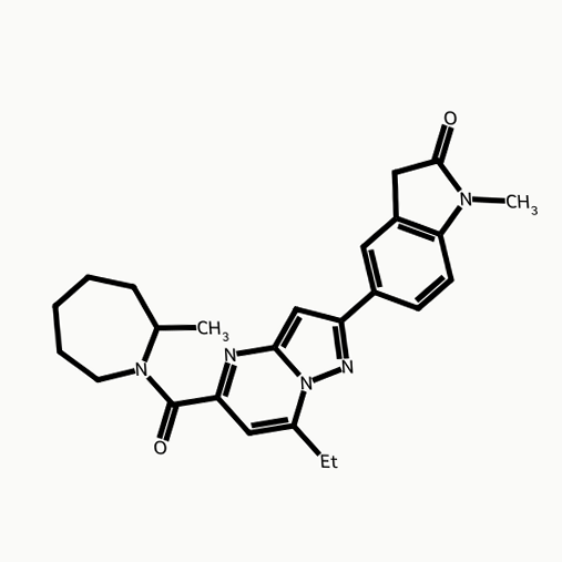 CCc1cc(C(=O)N2CCCCCC2C)nc2cc(-c3ccc4c(c3)CC(=O)N4C)nn12